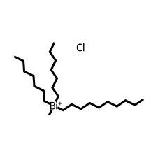 CCCCCCCCC[CH2][Bi+]([CH3])([CH2]CCCCCC)[CH2]CCCCCC.[Cl-]